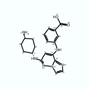 N[C@H]1CC[C@H](Nc2cc(Nc3cccc(C(=O)O)c3)c3nccn3n2)CC1